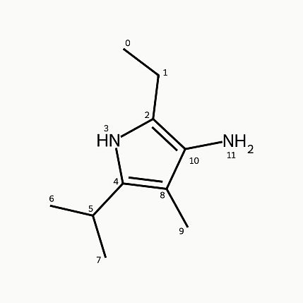 CCc1[nH]c(C(C)C)c(C)c1N